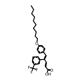 CCCCCCCCCCOc1ccc(C=C(C=CC(=O)O)c2cccc(C(F)(F)F)c2)cc1